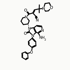 CC(C)(C=C(C#N)C(=O)N1CCC[C@@H](n2c(=O)n(-c3ccc(Oc4ccccc4)cc3)c3c(N)nccc32)C1)N1CCOCC1